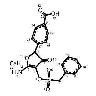 NC1=C(OS(=O)(=O)Cc2ccccc2)C(=O)C(c2ccc(C(=O)O)cc2)O1.[CaH2]